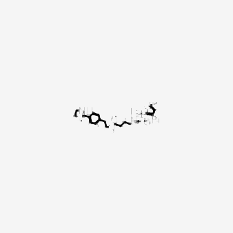 CN(CCc1ccc(C2=NCCN2)cc1)C(=O)CCCNCS(=O)(=O)c1sc(Cl)cc1Br